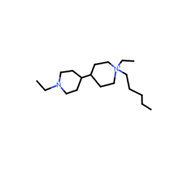 CCCCC[N+]1(CC)CCC(C2CCN(CC)CC2)CC1